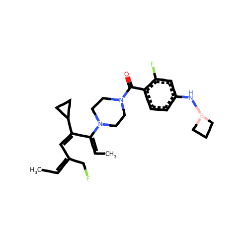 C/C=C(/C(=C\C(=C/C)CF)C1CC1)N1CCN(C(=O)c2ccc(NB3CCC3)cc2F)CC1